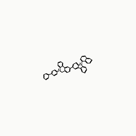 c1ccc(-c2ccc(N3Cc4ccc(-c5ccc6c(c5)c5ccccc5n6-c5cccc6ccccc56)cc4-c4ccccc43)cc2)cc1